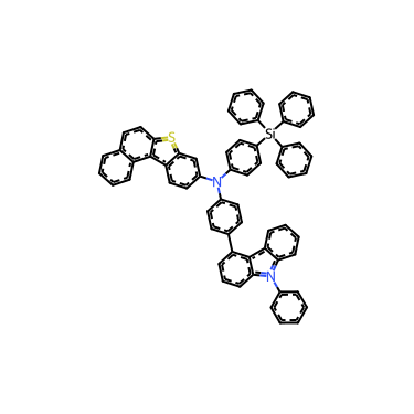 c1ccc(-n2c3ccccc3c3c(-c4ccc(N(c5ccc([Si](c6ccccc6)(c6ccccc6)c6ccccc6)cc5)c5ccc6c(c5)sc5ccc7ccccc7c56)cc4)cccc32)cc1